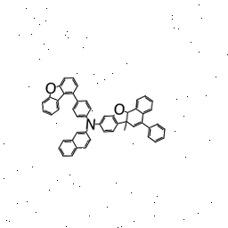 CC12C=C(c3ccccc3)c3ccccc3C1Oc1cc(N(c3ccc(-c4cccc5oc6ccccc6c45)cc3)c3ccc4ccccc4c3)ccc12